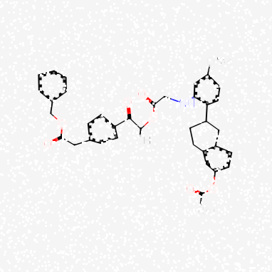 COc1ccc(C2CCc3cc(OC(=O)C(C)(C)C)ccc3C2)c(NCC(=O)OC(C)C(=O)c2ccc(CC(=O)OCc3ccccc3)cc2)c1